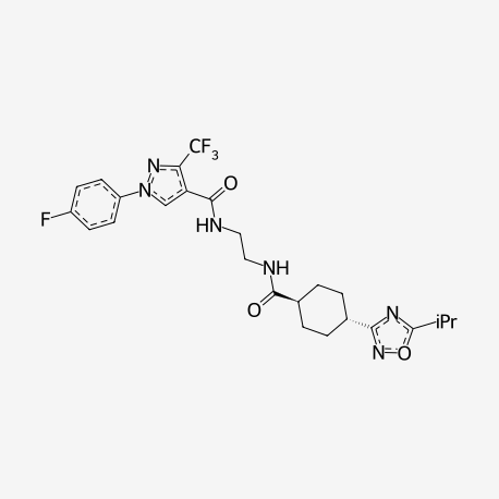 CC(C)c1nc([C@H]2CC[C@H](C(=O)NCCNC(=O)c3cn(-c4ccc(F)cc4)nc3C(F)(F)F)CC2)no1